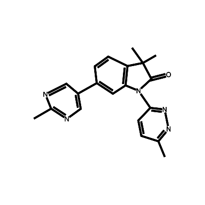 Cc1ccc(N2C(=O)C(C)(C)c3ccc(-c4cnc(C)nc4)cc32)nn1